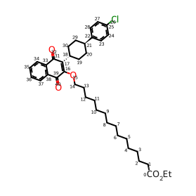 CCOC(=O)CCCCCCCCCCCCCCOC1=C([C@H]2CC[C@H](c3ccc(Cl)cc3)CC2)C(=O)c2ccccc2C1=O